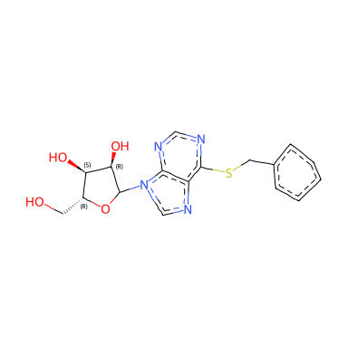 OC[C@H]1OC(n2cnc3c(SCc4ccccc4)ncnc32)[C@H](O)[C@@H]1O